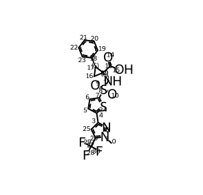 Cn1nc(-c2ccc(S(=O)(=O)N[C@]3(C(=O)O)C[C@H]3c3ccccc3)s2)cc1C(F)(F)F